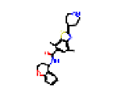 Cc1cc(C(=O)NC2CCOc3ccccc32)c(C)c2sc(C3CCNCC3)nc12